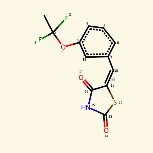 CC(F)(F)Oc1cccc(/C=C2/SC(=O)NC2=O)c1